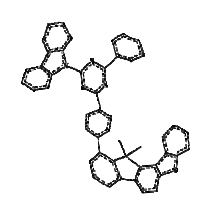 CC1(C)c2c(-c3ccc(-c4nc(-c5ccccc5)nc(-n5c6ccccc6c6ccccc65)n4)cc3)cccc2-c2ccc3oc4ccccc4c3c21